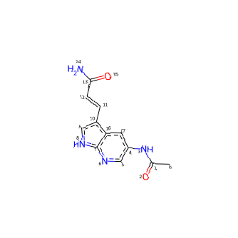 CC(=O)Nc1cnc2[nH]cc(C=CC(N)=O)c2c1